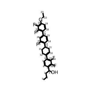 CCCC(O)c1ccc(C2=CCC(c3ccc(-c4ccc(OCC)c(F)c4F)cc3F)CC2)c(F)c1F